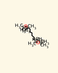 C[SiH](C)O[Si](C)(C)CCCCCC[Si](C)(C)O[Si](C)(C)C